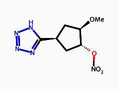 CO[C@@H]1C[C@H](c2nnn[nH]2)C[C@H]1O[N+](=O)[O-]